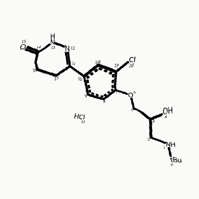 CC(C)(C)NCC(O)COc1ccc(C2=NNC(=O)CC2)cc1Cl.Cl